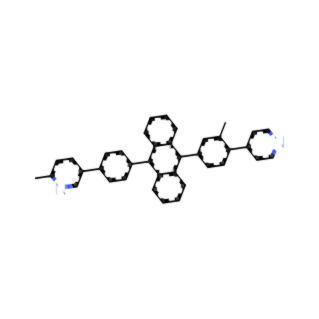 Cc1ccc(-c2ccc(-c3c4ccccc4c(-c4ccc(-c5ccncc5)c(C)c4)c4ccccc34)cc2)cn1